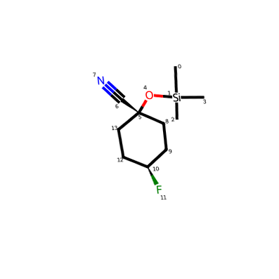 C[Si](C)(C)O[C@]1(C#N)CC[C@@H](F)CC1